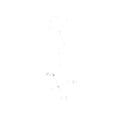 CCC(C)(C)C(=O)OOCC1CCO1